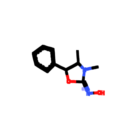 CC1C(c2ccccc2)O/C(=N/O)N1C